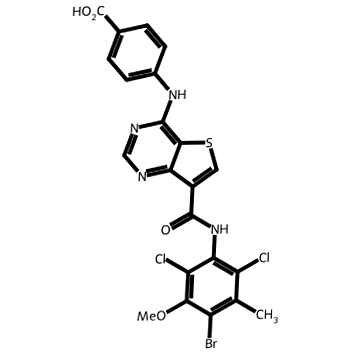 COc1c(Cl)c(NC(=O)c2csc3c(Nc4ccc(C(=O)O)cc4)ncnc23)c(Cl)c(C)c1Br